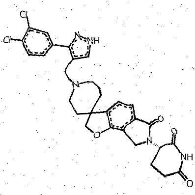 O=C1CC[C@H](N2Cc3c(ccc4c3OCC43CCN(Cc4c[nH]nc4-c4ccc(Cl)c(Cl)c4)CC3)C2=O)C(=O)N1